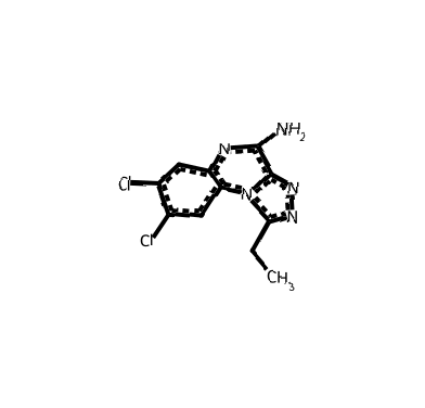 CCc1nnc2c(N)nc3cc(Cl)c(Cl)cc3n12